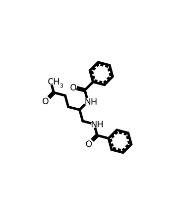 CC(=O)CCC(CNC(=O)c1ccccc1)NC(=O)c1ccccc1